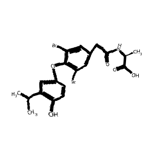 CC(C)c1cc(Oc2c(Br)cc(CC(=O)N[C@@H](C)C(=O)O)cc2Br)ccc1O